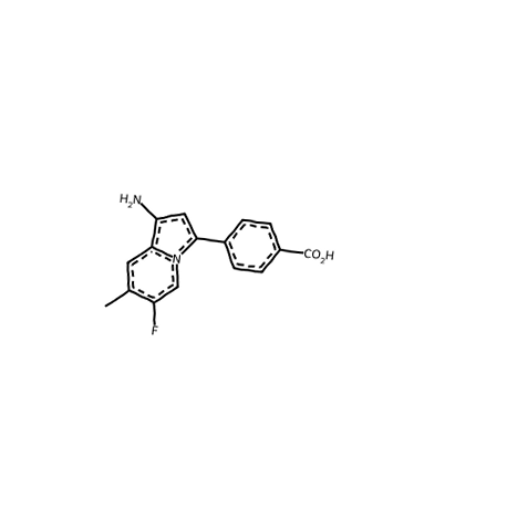 Cc1cc2c(N)cc(-c3ccc(C(=O)O)cc3)n2cc1F